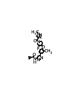 Cc1cc(-c2cc(NC(=O)C3CC3)ncn2)ccc1O[C@H]1CCN(C(=O)c2cn(C)nn2)C[C@H]1F